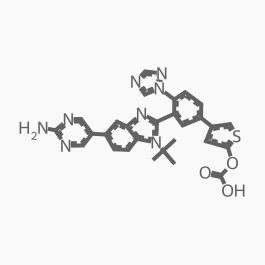 CC(C)(C)n1c(-c2cc(-c3csc(OC(=O)O)c3)ccc2-n2cncn2)nc2cc(-c3cnc(N)nc3)ccc21